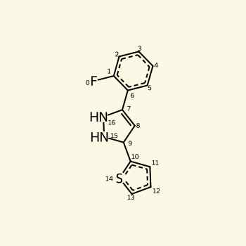 Fc1ccccc1C1=CC(c2cccs2)NN1